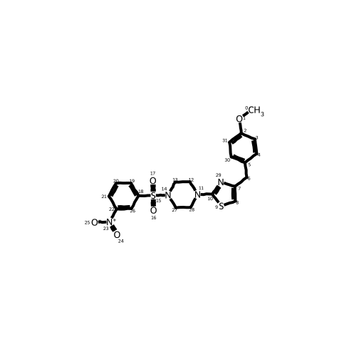 COc1ccc(Cc2csc(N3CCN(S(=O)(=O)c4cccc([N+](=O)[O-])c4)CC3)n2)cc1